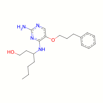 CCCCC(CCO)Nc1nc(N)ncc1OCCCc1ccccc1